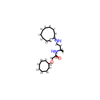 C=C(CCNC1CCCCCCCCC1)NC(=O)COC1CCCCCCC1